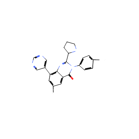 COc1ccc(-n2c(C3CCCN3)nc3c(-c4cncnc4)cc([N+](=O)[O-])cc3c2=O)cc1